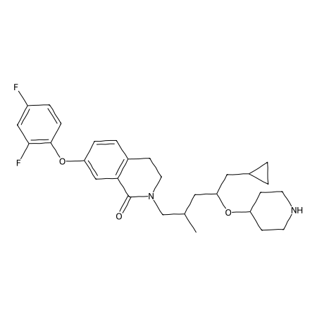 CC(CC(CC1CC1)OC1CCNCC1)CN1CCc2ccc(Oc3ccc(F)cc3F)cc2C1=O